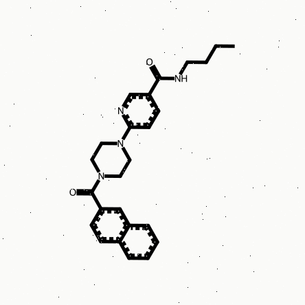 CCCCNC(=O)c1ccc(N2CCN(C(=O)c3ccc4ccccc4c3)CC2)nc1